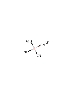 CC(=O)O[B-](C#N)(C#N)C#N.[Li+]